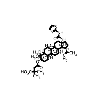 C=C(C)[C@@H]1CC[C@]2(NC(=O)Nc3nccs3)CC[C@]3(C)[C@H](CC[C@@H]4[C@@]5(C)CC[C@H](OC(=O)CC(C)(C)C(=O)O)C(C)(C)[C@@H]5CC[C@]43C)[C@@H]12